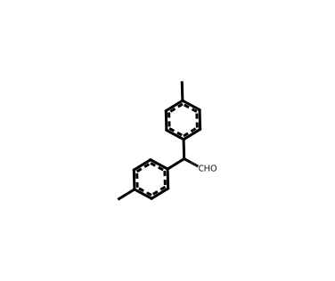 Cc1ccc(C(C=O)c2ccc(C)cc2)cc1